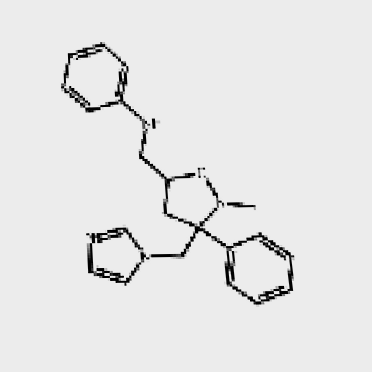 CN1OC(CNc2ccccc2)CC1(Cn1ccnc1)c1ccccc1